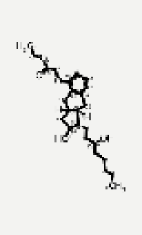 CCCCC[C@H](O)CC[C@H]1C(O)C[C@@H]2Cc3c(cccc3OCC(=O)OCC)C[C@@H]21